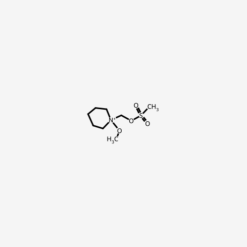 CO[N+]1(COS(C)(=O)=O)CCCCC1